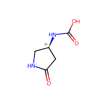 O=C(O)N[C@@H]1CNC(=O)C1